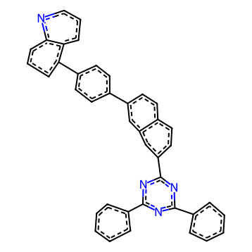 c1ccc(-c2nc(-c3ccccc3)nc(-c3ccc4ccc(-c5ccc(-c6cccc7ncccc67)cc5)cc4c3)n2)cc1